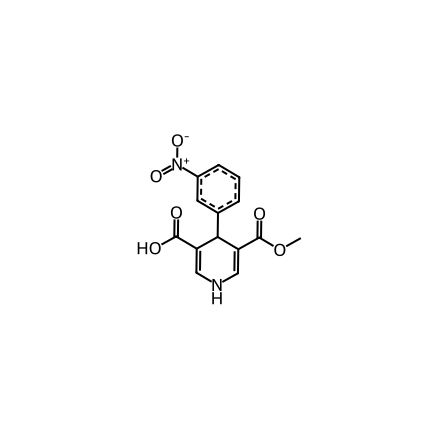 COC(=O)C1=CNC=C(C(=O)O)C1c1cccc([N+](=O)[O-])c1